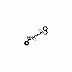 O=C(CCCCC(=O)N1CCCC2CCCCC21)NCCc1ccccc1